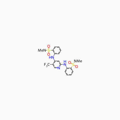 CNS(=O)(=O)c1ccccc1Nc1cc(Nc2ccccc2S(=O)(=O)NC)c(C(F)(F)F)cn1